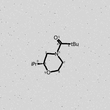 CC(C)[C@H]1CN(C(=O)C(C)(C)C)CCO1